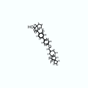 CC1(C(=O)O)CCCN1C(=O)c1ccc(-c2cnc(OCC3CCN(CC4(C(F)(F)F)CCC4)CC3)cn2)cc1F